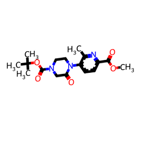 COC(=O)c1ccc(N2CCN(C(=O)OC(C)(C)C)CC2=O)c(C)n1